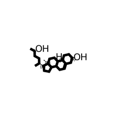 CC(O)CCC(C)[C@H]1CCC2C3CC=C4C[C@@H](O)CC[C@@H]4C3CC[C@@]21C